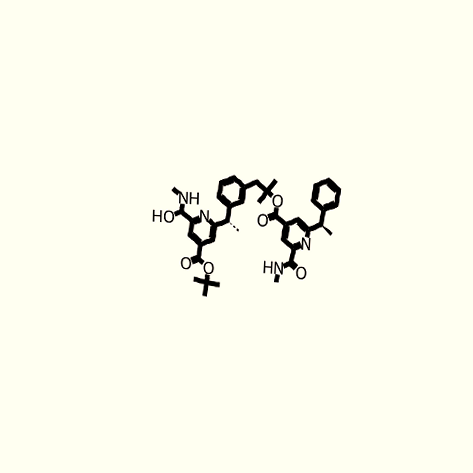 CNC(=O)c1cc(C(=O)OC(C)(C)Cc2cccc([C@H](C)c3cc(C(=O)OC(C)(C)C)cc(C(O)NC)n3)c2)cc([C@H](C)c2ccccc2)n1